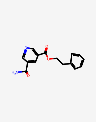 NC(=O)c1cncc(C(=O)OCCc2ccccc2)c1